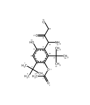 CC(=O)Oc1c(C(C)(C)C)cc(O)c(C(N)C(=O)CCl)c1C(C)(C)C